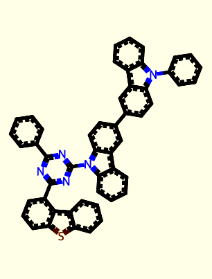 c1ccc(-c2nc(-c3cccc4sc5ccccc5c34)nc(-n3c4ccccc4c4cc(-c5ccc6c(c5)c5ccccc5n6-c5ccccc5)ccc43)n2)cc1